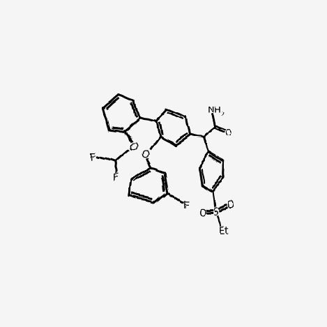 CCS(=O)(=O)c1ccc(C(C(N)=O)c2ccc(-c3ccccc3OC(F)F)c(Oc3cccc(F)c3)c2)cc1